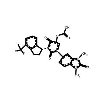 Cn1c(=O)n(C)c2cc(-n3cc(OC(=O)O)c(=O)n([C@@H]4CCc5c4cccc5C(F)(F)F)c3=O)ccc21